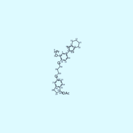 CCCOc1cc(-c2nc3c(s2)CCCC3)ccc1OCCCOc1ccc2c(c1)CC[C@@H]2OC(C)=O